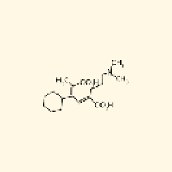 CC(C(=O)O)=C(C=C(CCCN(C)C)C(=O)O)C1CCCCC1